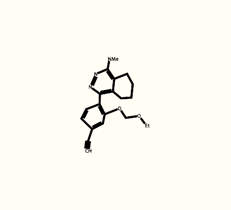 C#Cc1ccc(-c2nnc(NC)c3c2CCCC3)c(OCOCC)c1